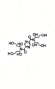 O=C(c1cnc(C(=O)N(C(O)CCO)C(O)CCO)cn1)N(C(O)CCO)C(O)CCO